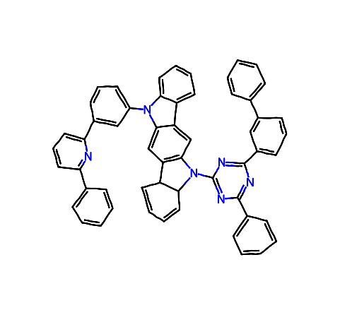 C1=CC2c3cc4c(cc3N(c3nc(-c5ccccc5)nc(-c5cccc(-c6ccccc6)c5)n3)C2C=C1)c1ccccc1n4-c1cccc(-c2cccc(-c3ccccc3)n2)c1